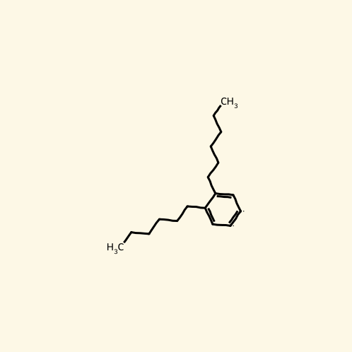 CCCCCCc1c[c][c]cc1CCCCCC